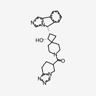 O=C(C1CCc2nncn2C1)N1CCC2(CC1)C[C@@H](C1c3ccccc3-c3cncn31)[C@H]2O